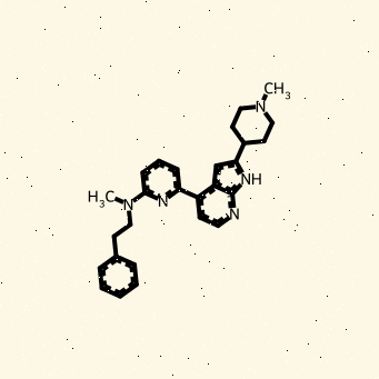 CN1CCC(c2cc3c(-c4cccc(N(C)CCc5ccccc5)n4)ccnc3[nH]2)CC1